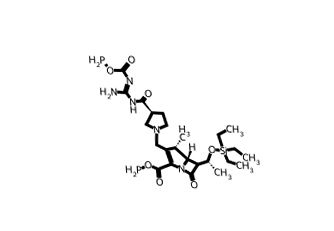 CC[Si](CC)(CC)O[C@H](C)C1C(=O)N2C(C(=O)OP)=C(CN3CC[C@H](C(=O)NC(N)=NC(=O)OP)C3)[C@H](C)[C@H]12